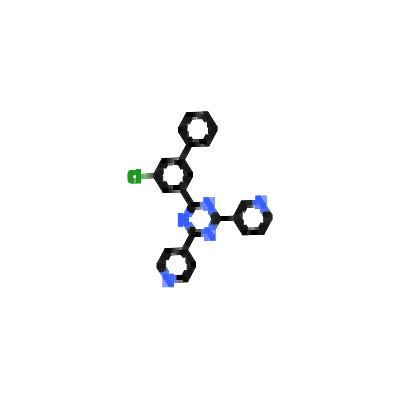 Clc1cc(-c2ccccc2)cc(-c2nc(-c3ccncc3)nc(-c3cccnc3)n2)c1